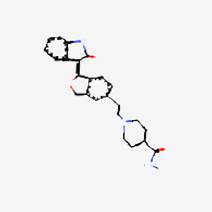 CNC(=O)C1CCN(CCc2ccc3c(c2)CO/C3=C2/C(=O)Nc3ccccc32)CC1